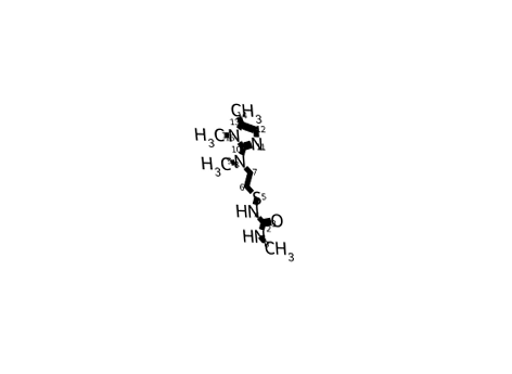 CNC(=O)NSCCN(C)c1ncc(C)n1C